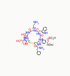 CC(O)[C@@H]1NC(=O)[C@H](CCCCN)NC(=O)[C@@H](Cc2c[nH]c3ccccc23)NC(=O)[C@H](Cc2ccccc2)NC(=O)[C@@H](NC(=O)[C@H](N)Cc2ccccc2)CSSC[C@@H](C(=O)N[C@H](CO)[C@@H](C)O)NC1=O.CCCCCCCCCCCCOS(=O)(=O)O